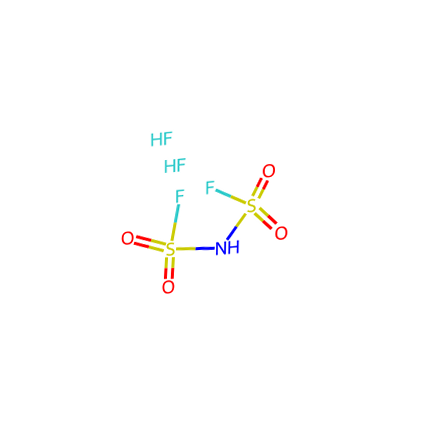 F.F.O=S(=O)(F)NS(=O)(=O)F